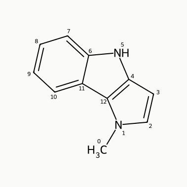 Cn1ccc2[nH]c3ccccc3c21